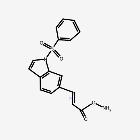 NOC(=O)/C=C/c1ccc2ccn(S(=O)(=O)c3ccccc3)c2c1